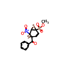 COS(=O)(=O)C12C=CC3(C(=O)c4ccccc4)SC3([N+](=O)[O-])C1S2